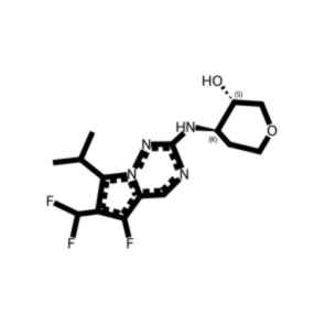 CC(C)c1c(C(F)F)c(F)c2cnc(N[C@@H]3CCOC[C@H]3O)nn12